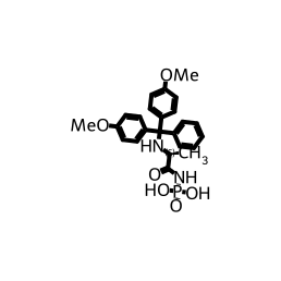 COc1ccc(C(N[C@@H](C)C(=O)NP(=O)(O)O)(c2ccccc2)c2ccc(OC)cc2)cc1